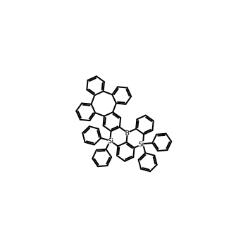 c1ccc([Si]2(c3ccccc3)c3ccccc3B3c4cc5c(cc4[Si](c4ccccc4)(c4ccccc4)c4cccc2c43)-c2ccccc2-c2ccccc2-c2ccccc2-5)cc1